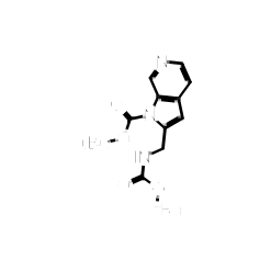 CC(C)(C)OC(=O)NCc1cc2ccncc2n1C(=O)OC(C)(C)C